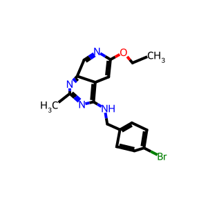 CCOc1cc2c(NCc3ccc(Br)cc3)nc(C)nc2cn1